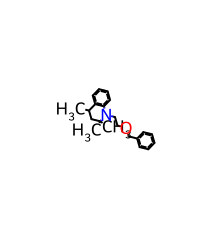 CC1CC(C)(C)N(CCOCc2ccccc2)c2ccccc21